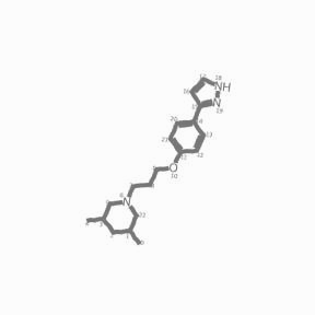 CC1CC(C)CN(CCCOc2ccc(-c3cc[nH]n3)cc2)C1